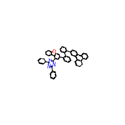 C1=CCC(c2nc(-c3ccccc3)nc(-c3cc(-c4ccccc4-c4ccccc4-c4ccc5c(c4)c4c(c6ccccc65)CCC=C4)cc4oc5ccccc5c34)n2)C=C1